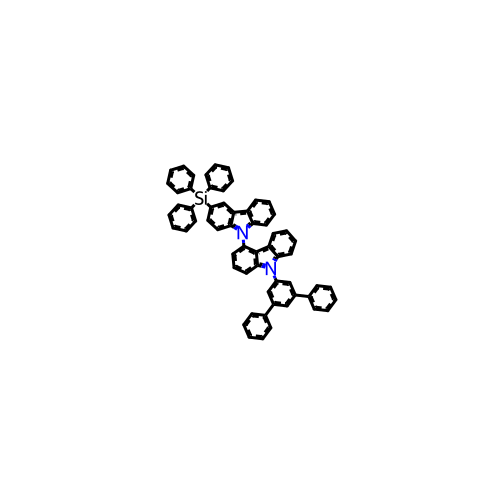 c1ccc(-c2cc(-c3ccccc3)cc(-n3c4ccccc4c4c(-n5c6ccccc6c6cc([Si](c7ccccc7)(c7ccccc7)c7ccccc7)ccc65)cccc43)c2)cc1